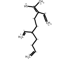 C=CCCC(C=C)CC/C(C=C)=C(/C)S